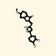 COc1ccc2c(c1)CC(=Cc1cc(-c3ccc(Cl)c(Cl)c3)n[nH]1)C2=O